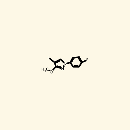 COc1nn(-c2ccc(F)cc2)cc1I